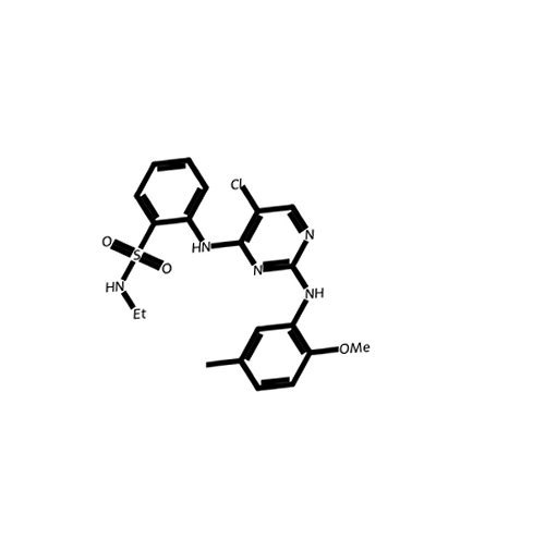 CCNS(=O)(=O)c1ccccc1Nc1nc(Nc2cc(C)ccc2OC)ncc1Cl